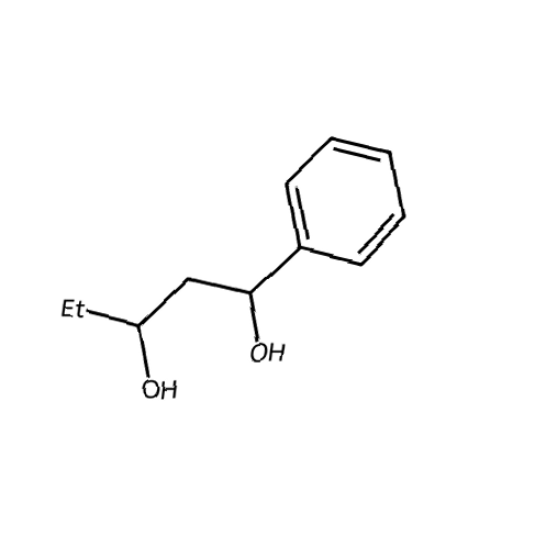 CCC(O)CC(O)c1ccccc1